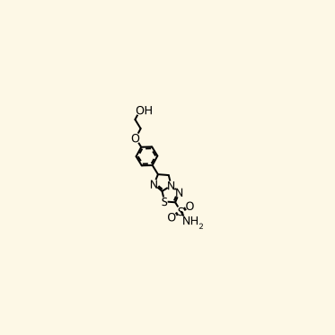 NS(=O)(=O)C1=NN2CC(c3ccc(OCCO)cc3)N=C2S1